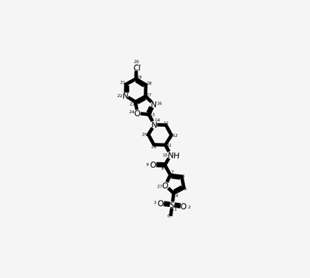 CS(=O)(=O)c1ccc(C(=O)NC2CCN(c3nc4cc(Cl)cnc4o3)CC2)o1